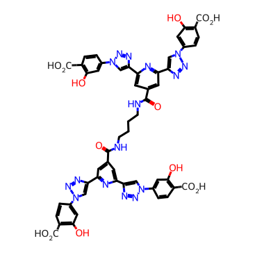 O=C(NCCCCNC(=O)c1cc(-c2cn(-c3ccc(C(=O)O)c(O)c3)nn2)nc(-c2cn(-c3ccc(C(=O)O)c(O)c3)nn2)c1)c1cc(-c2cn(-c3ccc(C(=O)O)c(O)c3)nn2)nc(-c2cn(-c3ccc(C(=O)O)c(O)c3)nn2)c1